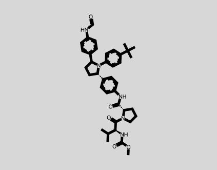 COC(=O)N[C@H](C(=O)N1CCC[C@H]1C(=O)Nc1ccc([C@@H]2CCC(c3ccc(NC=O)cc3)N2c2ccc(C(C)(C)C)cc2)cc1)C(C)C